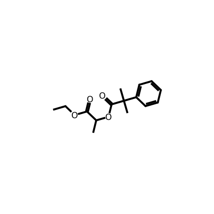 CCOC(=O)C(C)OC(=O)C(C)(C)c1ccccc1